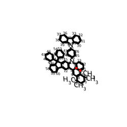 CC1(C)CCC(C)(C)c2cc(-c3cc4c(cc3N(c3ccccc3)c3ccc(-n5c6ccccc6c6ccccc65)cc3)C(c3ccccc3)(c3ccccc3)c3ccccc3-4)ccc21